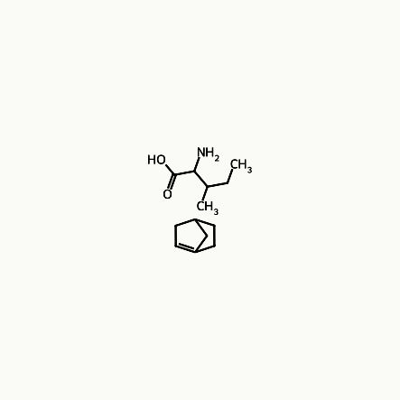 C1=C2CCC(C1)C2.CCC(C)C(N)C(=O)O